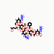 CCC1O[C@H](O[C@@H]2C(C)O[C@H](O[C@@H]3C(CC)O[C@H](OC)[C@@H](N=[N+]=[N-])C3C)[C@@H](OC(=O)c3ccccc3)C2C)[C@@H](N=[N+]=[N-])C(C)[C@@H]1O[C@@H]1O[C@@H](C(C)=O)[C@@H](O[C@H]2O[C@@H](CC)[C@@H](C)C(C)[C@@H]2N=[N+]=[N-])C(C)[C@@H]1OC(=O)CCC(C)=O